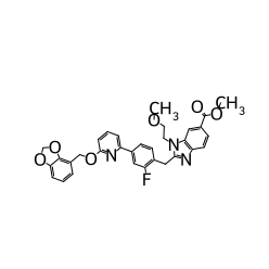 COCCn1c(Cc2ccc(-c3cccc(OCc4cccc5c4OCO5)n3)cc2F)nc2ccc(C(=O)OC)cc21